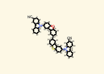 N#Cc1ccc2c(c1)c1ccccc1n2-c1ccc2oc3ccc(-c4ccc5sc6ccc(-n7c8ccccc8c8ccc(C#N)cc87)cc6c5c4)cc3c2c1